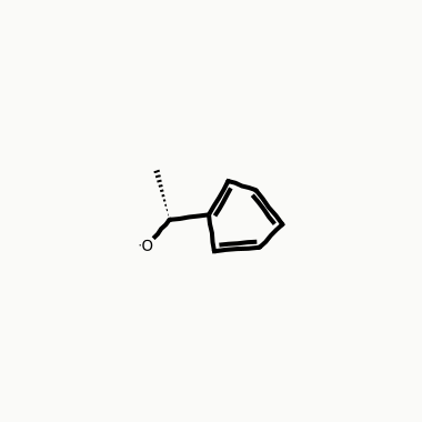 C[C@@H]([O])c1ccccc1